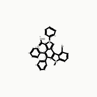 Cn1c2cccc(Br)c2c2c3cn(-c4ccccc4)c(C(=O)C=O)c3c(-c3ccccc3)c(-c3ccccc3)c21